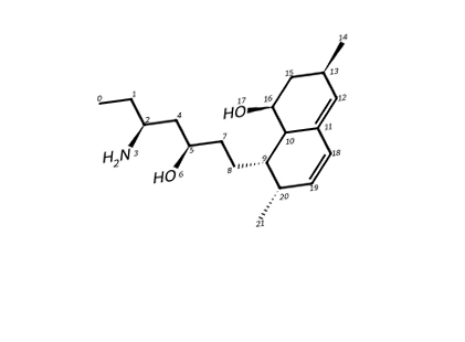 CC[C@H](N)C[C@H](O)CC[C@@H]1C2C(=C[C@H](C)C[C@@H]2O)C=C[C@@H]1C